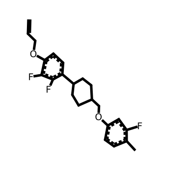 C=CCOc1ccc(C2CCC(COc3ccc(C)c(F)c3)CC2)c(F)c1F